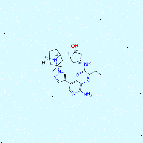 CCc1nc2c(N)ncc(-c3cnn(C4C[C@H]5CC[C@@H](C4)N5C(C)C)c3)c2nc1N[C@@H]1CC[C@H](O)C1